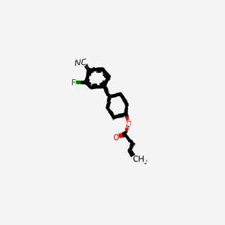 C=CCC(=O)OC1CCC(c2ccc(C#N)c(F)c2)CC1